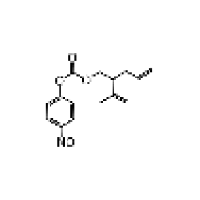 C=CCC(COC(=O)Oc1ccc(N=O)cc1)C(=C)C